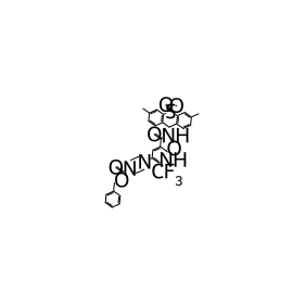 Cc1ccc2c(c1)S(=O)(=O)c1cc(C)ccc1C2NC(=O)c1cc(N2CCN(C(=O)OCc3ccccc3)CC2)c(C(F)(F)F)[nH]c1=O